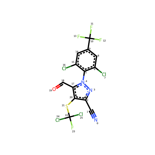 N#Cc1nn(-c2c(Cl)cc(C(F)(F)F)cc2Cl)c(C=O)c1SC(F)(Cl)Cl